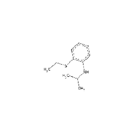 CCSc1ccccc1NC(C)C